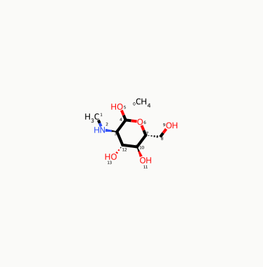 C.CN[C@H]1C(O)O[C@H](CO)[C@@H](O)[C@@H]1O